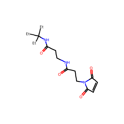 CCC(CC)(CC)NC(=O)CCNC(=O)CCN1C(=O)C=CC1=O